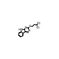 CCN(CC)CCSc1nnc2c(n1)[nH]c1ccccc12